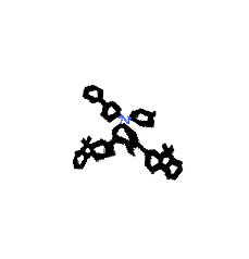 Cc1ccc(N(c2ccc(-c3ccccc3)cc2)c2cc(-c3ccc4c(c3)C(C)(C)c3ccccc3-4)c(C)c(-c3ccc4c(c3)C(C)(C)c3ccccc3-4)c2)cc1